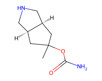 CC1(OC(N)=O)C[C@H]2CNC[C@H]2C1